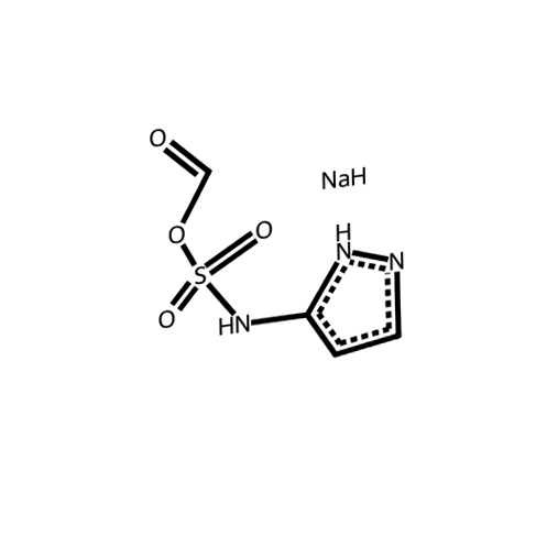 O=COS(=O)(=O)Nc1ccn[nH]1.[NaH]